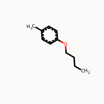 [CH2]CCCOc1ccc(C)cc1